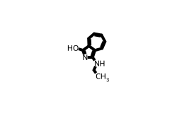 CCNc1nc(O)c2cccccc1-2